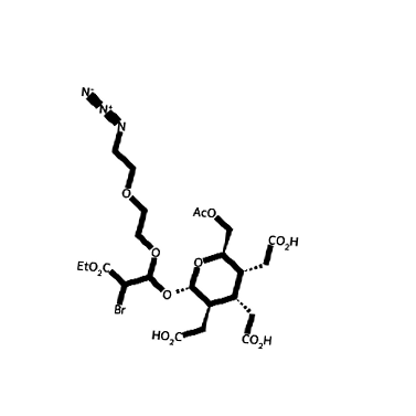 CCOC(=O)C(Br)C(OCCOCCN=[N+]=[N-])O[C@@H]1O[C@@H](COC(C)=O)[C@H](CC(=O)O)[C@H](CC(=O)O)[C@H]1CC(=O)O